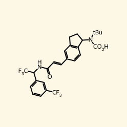 CC(C)(C)N(C(=O)O)C1CCc2cc(C=CC(=O)NC(c3cccc(C(F)(F)F)c3)C(F)(F)F)ccc21